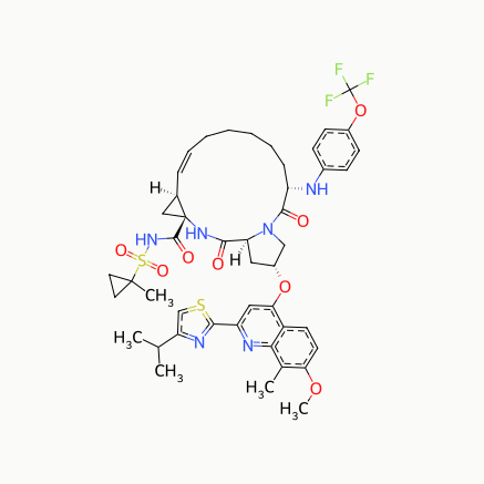 COc1ccc2c(O[C@@H]3C[C@H]4C(=O)N[C@]5(C(=O)NS(=O)(=O)C6(C)CC6)C[C@H]5/C=C\CCCCC[C@H](Nc5ccc(OC(F)(F)F)cc5)C(=O)N4C3)cc(-c3nc(C(C)C)cs3)nc2c1C